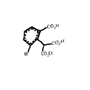 CCOC(=O)C(C(=O)O)c1c(Br)cccc1C(=O)O